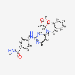 CNC(=O)c1ccc(Nc2nccc(N(Cc3ccccc3)C3=COCO3)n2)cc1